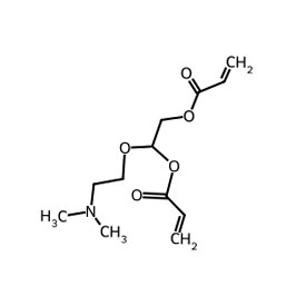 C=CC(=O)OCC(OCCN(C)C)OC(=O)C=C